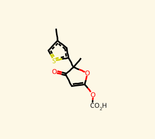 Cc1csc(C2(C)OC(OC(=O)O)=CC2=O)c1